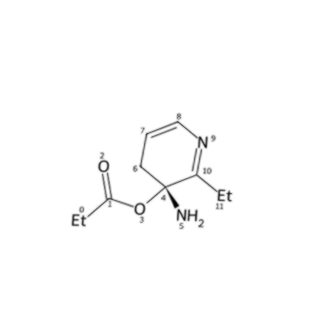 CCC(=O)O[C@]1(N)CC=CN=C1CC